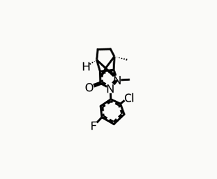 Cn1c2c(c(=O)n1-c1cc(F)ccc1Cl)[C@H]1CC[C@]2(C)C1(C)C